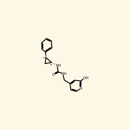 O=C(NCc1ccnc(O)c1)N[C@@H]1C[C@H]1c1ccccc1